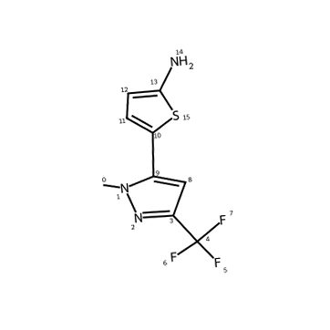 Cn1nc(C(F)(F)F)cc1-c1ccc(N)s1